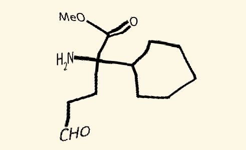 COC(=O)C(N)(CCC=O)C1CCCCC1